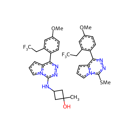 COc1ccc(-c2nnc(NC3CC(C)(O)C3)n3cccc23)c(CC(F)(F)F)c1.COc1ccc(-c2nnc(SC)n3cccc23)c(CC(F)(F)F)c1